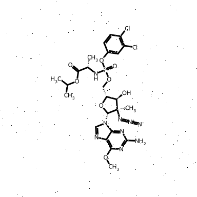 COc1nc(N)nc2c1ncn2[C@@H]1O[C@H](COP(=O)(N[C@@H](C)C(=O)OC(C)C)Oc2ccc(Cl)c(Cl)c2)[C@@H](O)[C@@]1(C)N=[N+]=[N-]